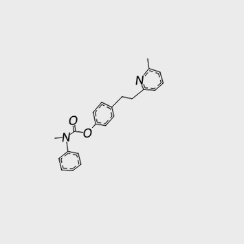 Cc1cccc(CCc2ccc(OC(=O)N(C)c3ccccc3)cc2)n1